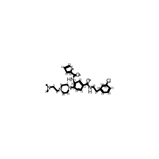 CN(C)CCN1CCN(c2ccc(C(=O)NCCc3cccc(Cl)c3)cc2NC(=O)c2cccs2)CC1